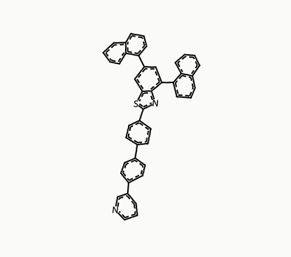 c1cncc(-c2ccc(-c3ccc(-c4nc5c(-c6cccc7ccccc67)cc(-c6cccc7ccccc67)cc5s4)cc3)cc2)c1